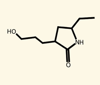 CCC1CC(CCCO)C(=O)N1